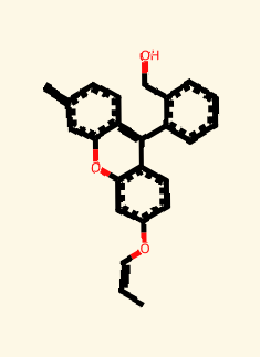 C=c1ccc2c(c1)Oc1cc(O/C=C\C)ccc1C=2c1ccccc1CO